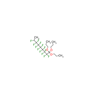 CCCO[Si](OCCC)(OCCC)C(F)(F)C(F)(F)C(F)(F)C(F)(F)C(F)(F)C(F)(F)C(C)F